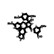 COc1cc(C=O)ccn1.COc1ccc(OC)c(C2(O)OC(=O)C(c3ccc4nsnc4c3)=C2Cc2ccnc(OC)c2)c1